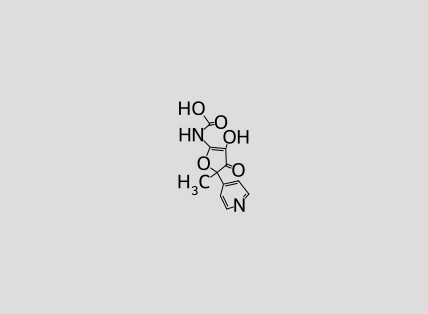 CC1(c2ccncc2)OC(NC(=O)O)=C(O)C1=O